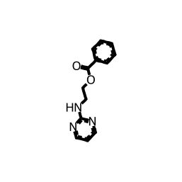 O=C(OCCNc1ncccn1)c1ccccc1